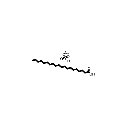 CCCCCCCCCCCCCCCCCCCC(=O)O.O=S(=O)([O-])O.[Na+]